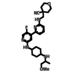 COCC(C)NC1CCC(Nc2cc(-c3cccc(NCC4(C#N)CCOCC4)n3)c(F)cn2)CC1